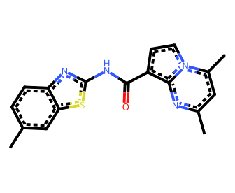 Cc1ccc2nc(NC(=O)c3ccn4c(C)cc(C)nc34)sc2c1